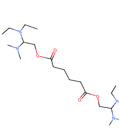 CCN(CC)C(COC(=O)CCCCC(=O)OCC(N(C)C)N(CC)CC)N(C)C